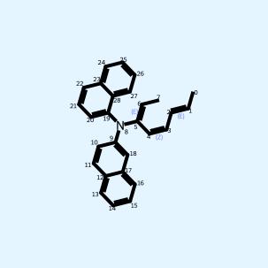 C/C=C/C=C\C(=C/C)N(c1ccc2ccccc2c1)c1cccc2ccccc12